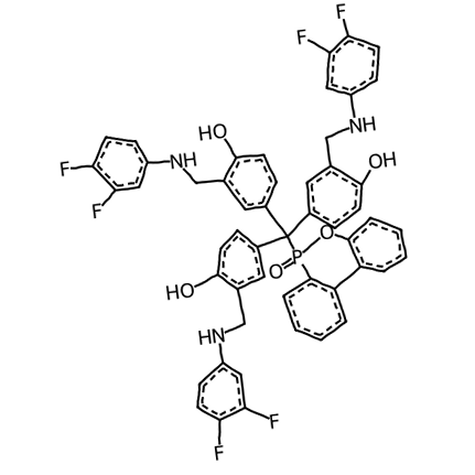 O=P1(C(c2ccc(O)c(CNc3ccc(F)c(F)c3)c2)(c2ccc(O)c(CNc3ccc(F)c(F)c3)c2)c2ccc(O)c(CNc3ccc(F)c(F)c3)c2)Oc2ccccc2-c2ccccc21